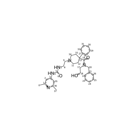 Cc1cc(NC(=O)NCCN2CCC(C(=O)N(CCO)Cc3ccccc3)(c3ccccc3)CC2)cc(C)n1